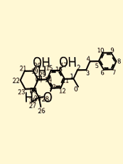 CC(CCCc1ccccc1)c1cc2c(cc1O)[C@@H]1C(O)CCC[C@H]1C(C)(C)O2